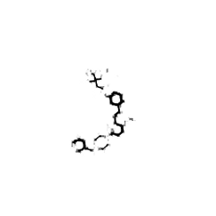 CCC(CC)(CC(=O)Nc1cccc(C=Cc2nc(N3CCN(Cc4cccnc4)CC3)ccc2C)c1)C(=O)O.O